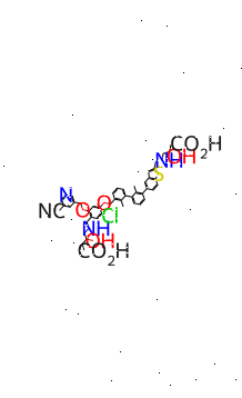 Cc1c(COc2cc(OCc3cncc(C#N)c3)c(CNC[C@@H](O)CC(=O)O)cc2Cl)cccc1-c1cccc(-c2ccc3sc(CNC[C@@H](O)CC(=O)O)cc3c2)c1C